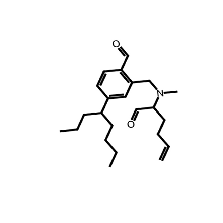 C=CCCC(C=O)N(C)Cc1cc(C(CCC)CCCC)ccc1C=O